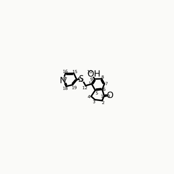 O=C1CCCc2c1ccc(O)c2CSc1ccncc1